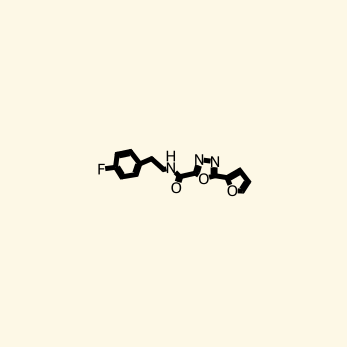 O=C(NCCc1ccc(F)cc1)c1nnc(-c2ccco2)o1